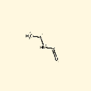 CSN[C]=O